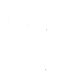 CCOc1cccnc1SC(C(N)=O)c1ccccc1